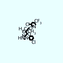 CC(C)(COc1ncc(C(F)(F)F)cc1Cl)C(=O)C(Oc1ccc(Cl)cc1)c1nc[nH]n1